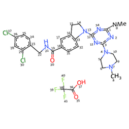 CNc1nc(N2CCN(C)CC2)nc(N2CCc3cc(C(=O)NCc4ccc(Cl)cc4Cl)ccc32)n1.O=C(O)C(F)(F)F